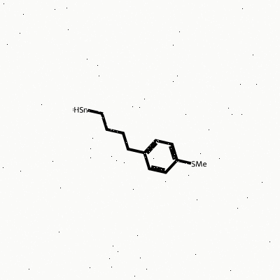 CSc1ccc(CCC[CH2][SnH])cc1